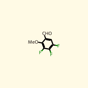 COc1c(C=O)cc(F)c(F)c1F